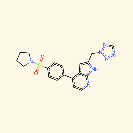 O=S(=O)(c1ccc(-c2ccnc3[nH]c(Cn4ncnn4)cc23)cc1)N1CCCC1